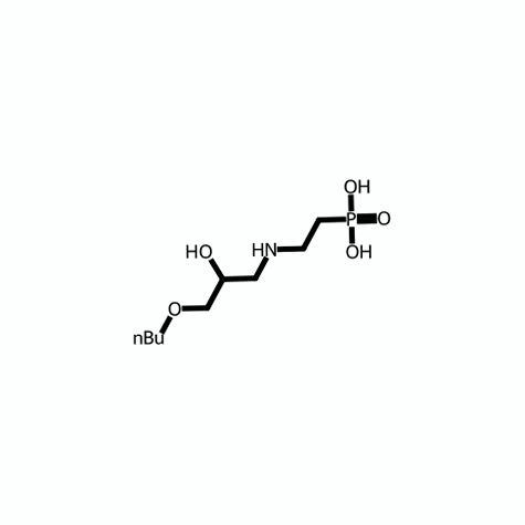 CCCCOCC(O)CNCCP(=O)(O)O